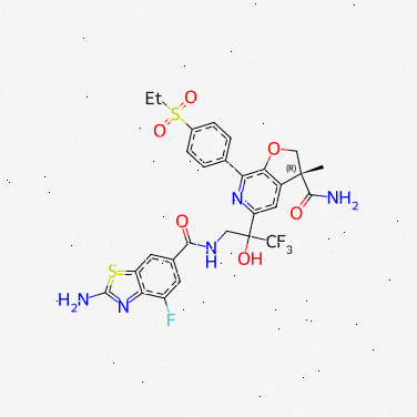 CCS(=O)(=O)c1ccc(-c2nc(C(O)(CNC(=O)c3cc(F)c4nc(N)sc4c3)C(F)(F)F)cc3c2OC[C@]3(C)C(N)=O)cc1